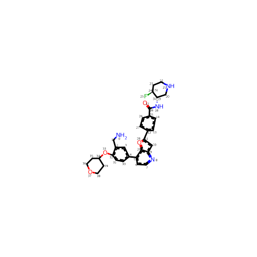 NCc1cc(-c2ccnc3cc(-c4ccc(C(=O)N[C@H]5CNCC[C@@H]5F)cc4)oc23)ccc1OC1CCOCC1